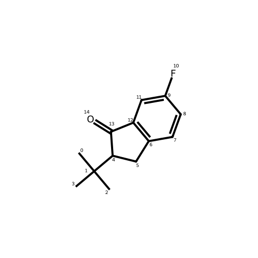 CC(C)(C)C1Cc2ccc(F)cc2C1=O